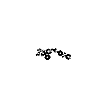 CCC[C@@H](CC(C#N)(c1ccccc1)C1CCN(CC2CN(c3ccc(S(=O)(=O)c4ccncc4)cc3)C2)CC1)NS(C)(=O)=O